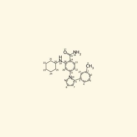 Cc1cccc(-c2cccn2-c2ccc(C(N)=O)c(NC3CCCCC3)c2)c1